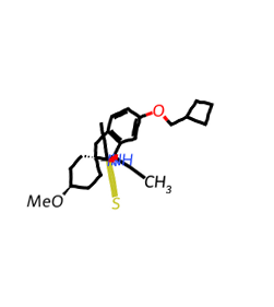 CO[C@H]1CC[C@]2(CC1)Cc1ccc(OCC3CCC3)cc1C21N=C(C)C(=S)N1